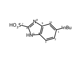 CCCCc1ccc2[nH]c(S(=O)(=O)O)nc2c1